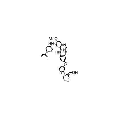 C=CC(=O)N1CCC(Nc2cc3c(Nc4ccc(Oc5ccnc(N6CCOC[C@@H]6CO)c5)cc4F)ncnc3cc2OC)CC1